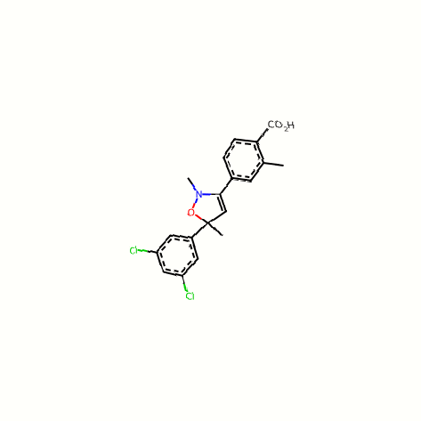 Cc1cc(C2=CC(C)(c3cc(Cl)cc(Cl)c3)ON2C)ccc1C(=O)O